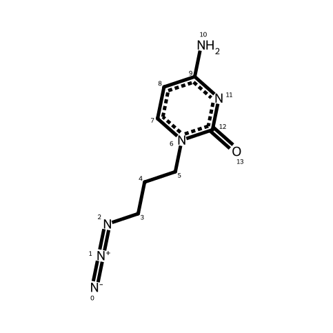 [N-]=[N+]=NCCCn1ccc(N)nc1=O